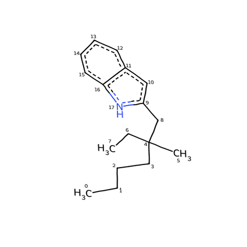 C[CH]CCC(C)(CC)Cc1cc2ccccc2[nH]1